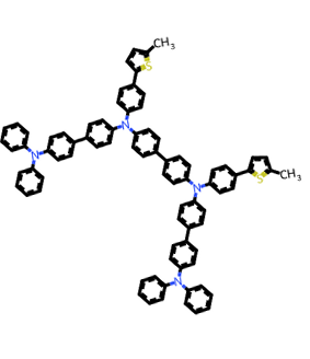 Cc1ccc(-c2ccc(N(c3ccc(-c4ccc(N(c5ccccc5)c5ccccc5)cc4)cc3)c3ccc(-c4ccc(N(c5ccc(-c6ccc(N(c7ccccc7)c7ccccc7)cc6)cc5)c5ccc(-c6ccc(C)s6)cc5)cc4)cc3)cc2)s1